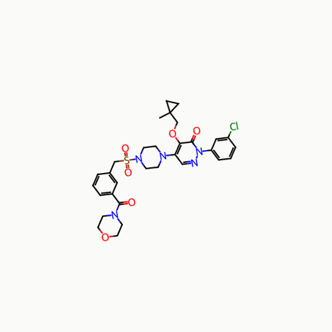 CC1(COc2c(N3CCN(S(=O)(=O)Cc4cccc(C(=O)N5CCOCC5)c4)CC3)cnn(-c3cccc(Cl)c3)c2=O)CC1